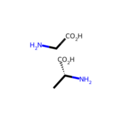 C[C@@H](N)C(=O)O.NCC(=O)O